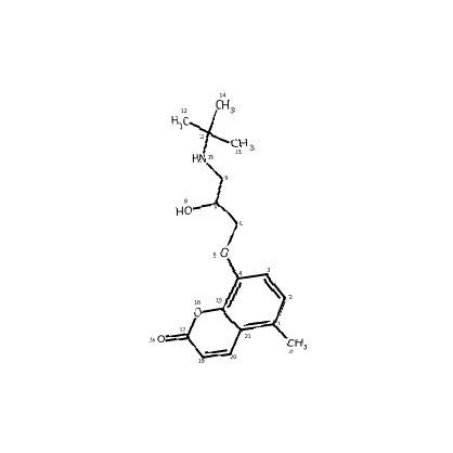 Cc1ccc(OCC(O)CNC(C)(C)C)c2oc(=O)ccc12